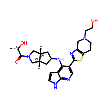 C[C@H](O)C(=O)N1C[C@H]2CC(Nc3c(-c4nc5c(s4)CCN(CCO)C5)cnc4[nH]ccc34)C[C@H]2C1